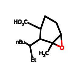 CCCCC(CC)C1C(C(=O)O)CCC2OC21C